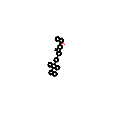 CC1(C)c2cc(-c3ccc(-c4c5ccccc5c(-c5cccc6ccccc56)c5ccccc45)cc3)ccc2-c2cc3oc4ccc5ccccc5c4c3cc21